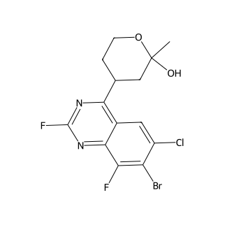 CC1(O)CC(c2nc(F)nc3c(F)c(Br)c(Cl)cc23)CCO1